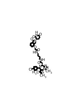 Cc1sc2c(c1C)C(c1ccc(Cl)cc1)=N[C@@H](CC(=O)NCCCCNC(=O)COc1cccc3c1CN(C1CCC(=O)NC1=O)C3=O)c1nnc(C)n1-2